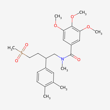 COc1cc(C(=O)N(C)CC(CCS(C)(=O)=O)c2ccc(C)c(C)c2)cc(OC)c1OC